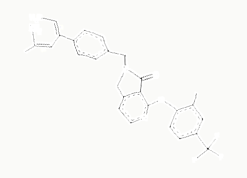 C/C(N)=C/C(=C\N)c1ccc(CN2Cc3ccnc(Oc4ccc(C(F)(F)F)cc4C)c3C2=O)cc1